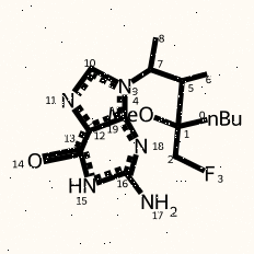 CCCCC(CF)(OC)C(C)C(C)n1cnc2c(=O)[nH]c(N)nc21